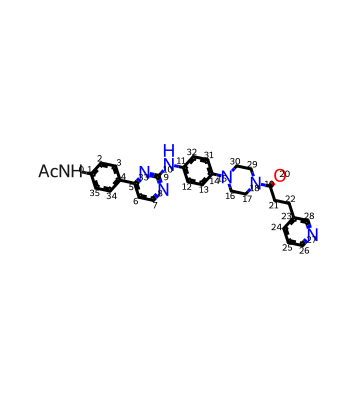 CC(=O)Nc1ccc(-c2ccnc(Nc3ccc(N4CCN(C(=O)CCc5cccnc5)CC4)cc3)n2)cc1